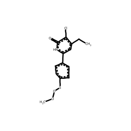 CCc1cc(-c2ccc(SOOC)cc2)[nH]c(=O)c1Cl